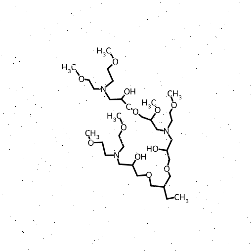 CCC(COCC(O)CN(CCOC)CCOC)COCC(O)CN(CCOC)CC(COCC(O)CN(CCOC)CCOC)OC